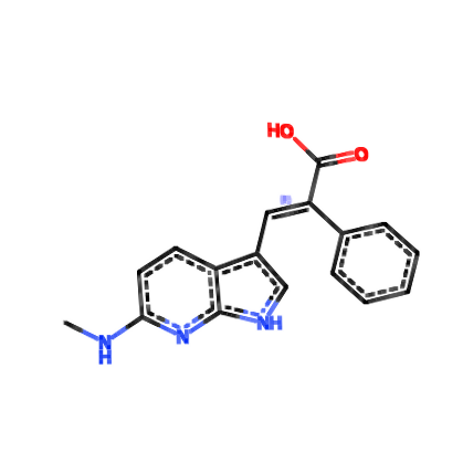 CNc1ccc2c(/C=C(/C(=O)O)c3ccccc3)c[nH]c2n1